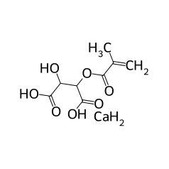 C=C(C)C(=O)OC(C(=O)O)C(O)C(=O)O.[CaH2]